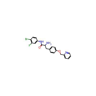 NC(Cc1ccc(OCc2ccccn2)cc1)C(=O)Nc1ccc(Br)c(F)c1